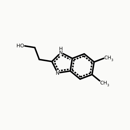 Cc1cc2nc(CCO)[nH]c2cc1C